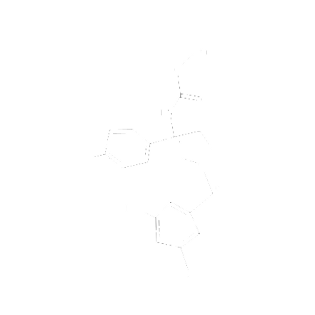 C[C@@H](OC[C@@](CO)(NC(=O)OC(C)(C)C)c1ccc(F)cc1)c1cc(C(F)(F)F)cc(C(F)(F)F)c1